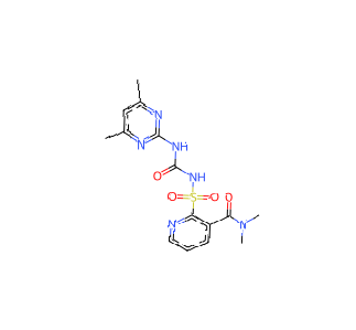 Cc1cc(C)nc(NC(=O)NS(=O)(=O)c2ncccc2C(=O)N(C)C)n1